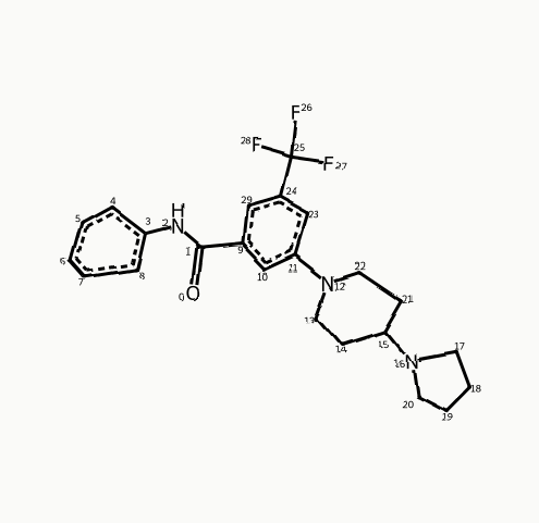 O=C(Nc1ccccc1)c1cc(N2CCC(N3CCCC3)CC2)cc(C(F)(F)F)c1